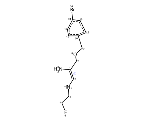 N/C(=C\NCCF)COCc1ccc(Br)cc1